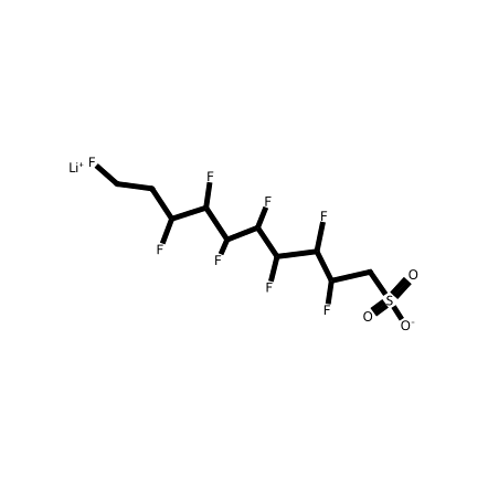 O=S(=O)([O-])CC(F)C(F)C(F)C(F)C(F)C(F)C(F)CCF.[Li+]